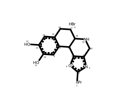 Br.CCCc1nc2c(o1)C1c3cc(O)c(O)cc3CCC1NC2